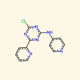 Clc1nc(Nc2ccncc2)nc(-c2ccccn2)n1